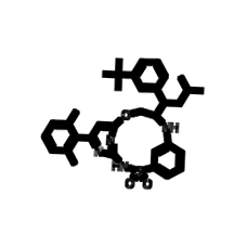 Cc1cccc(C)c1-c1cc2nc(n1)NS(=O)(=O)c1cccc(c1)NC(C(CC(C)C)c1cccc(C(C)(C)C)c1)CO2